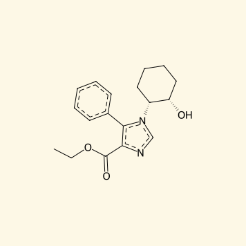 CCOC(=O)c1ncn([C@@H]2CCCC[C@@H]2O)c1-c1ccccc1